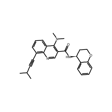 CC(C)C#Cc1cccc2c(N(C)C)c(C(=O)N[C@H]3CCOc4ccccc43)cnc12